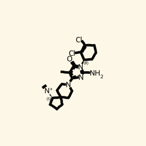 C#[N+][C@H]1CCCC12CCN(c1nc(N)n([C@@H]3CCCC(Cl)=C3Cl)c(=O)c1C)CC2